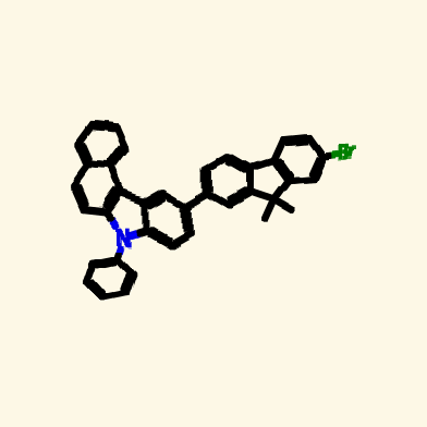 CC1(C)c2cc(Br)ccc2-c2ccc(-c3ccc4c(c3)c3c5ccccc5ccc3n4-c3ccccc3)cc21